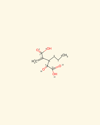 C=C(C(=O)O)C(CCC)C(=O)C(=O)O